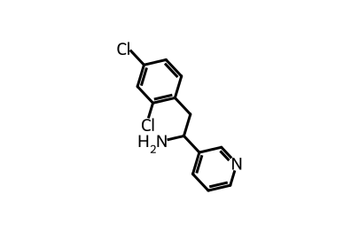 NC(Cc1ccc(Cl)cc1Cl)c1cccnc1